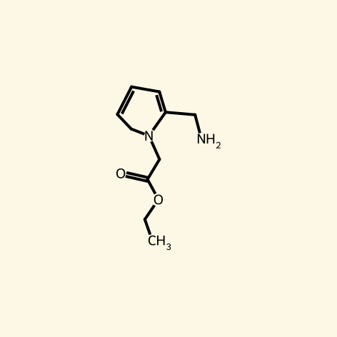 CCOC(=O)CN1CC=CC=C1CN